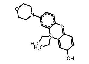 CC[Si]1(CC)C2=CC(O)C=CC2=Nc2ccc(N3CCOCC3)cc21